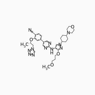 COCCCOc1nn(C2CCC(N3CCOCC3)CC2)cc1Nc1ncc(-c2ccc(C#N)c(O[C@@H](C)Cn3cnnn3)c2)cn1